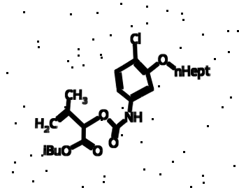 C=C(C)C(OC(=O)Nc1ccc(Cl)c(OCCCCCCC)c1)C(=O)OCC(C)C